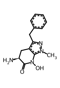 Cn1nc(Cc2ccccc2)c2c1N(O)C(=O)[C@@H](N)C2